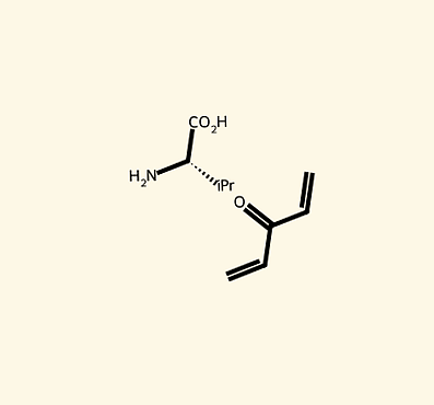 C=CC(=O)C=C.CC(C)[C@H](N)C(=O)O